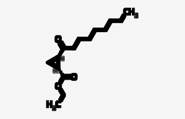 CCCCCCCCC(=O)[C@@H]1C[C@H]1C(=O)OCC